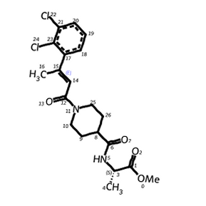 COC(=O)[C@H](C)NC(=O)C1CCN(C(=O)/C=C(\C)c2cccc(Cl)c2Cl)CC1